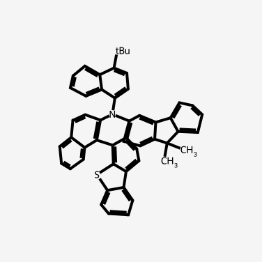 CC(C)(C)c1ccc(N(c2ccc3c(c2)-c2ccccc2C3(C)C)c2ccc3ccccc3c2-c2cccc3c2sc2ccccc23)c2ccccc12